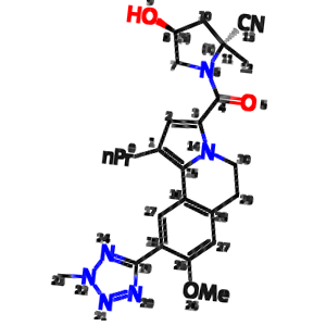 CCCc1cc(C(=O)N2C[C@@H](O)C[C@]2(C)C#N)n2c1-c1cc(-c3nnn(C)n3)c(OC)cc1CC2